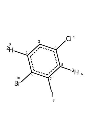 [2H]c1cc(Cl)c([2H])c(I)c1Br